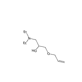 C=CCOCC(O)CN(CC)CC